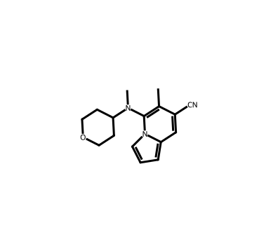 Cc1c(C#N)cc2cccn2c1N(C)C1CCOCC1